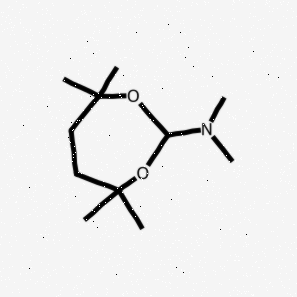 CN(C)C1OC(C)(C)CCC(C)(C)O1